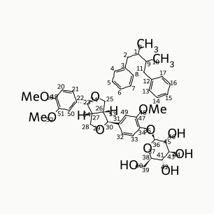 CC(Cc1ccccc1)C(C)Cc1ccccc1.COc1ccc([C@@H]2OC[C@H]3[C@@H]2CO[C@@H]3c2ccc(O[C@@H]3O[C@H](CO)[C@@H](O)[C@H](O)[C@H]3O)c(OC)c2)cc1OC